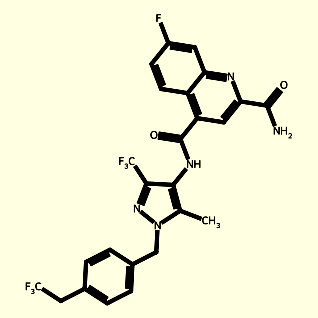 Cc1c(NC(=O)c2cc(C(N)=O)nc3cc(F)ccc23)c(C(F)(F)F)nn1Cc1ccc(CC(F)(F)F)cc1